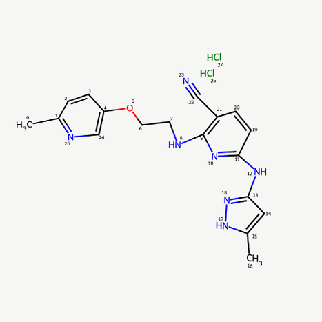 Cc1ccc(OCCNc2nc(Nc3cc(C)[nH]n3)ccc2C#N)cn1.Cl.Cl